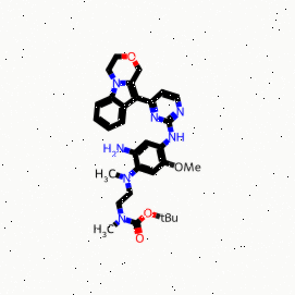 COc1cc(N(C)CCN(C)C(=O)OC(C)(C)C)c(N)cc1Nc1nccc(-c2c3n(c4ccccc24)CCOC3)n1